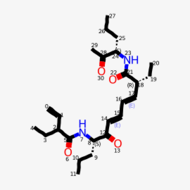 C=CC(CC)C(=O)N[C@@H](CCC)C(=O)/C=C/C=C/[C@@H](CC)C(=O)N[C@@H](CCC)C(C)=O